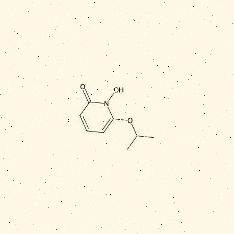 CC(C)Oc1cccc(=O)n1O